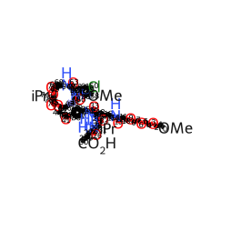 COCCOCCOCCOCCC(=O)NCCCCC(NC(=O)C(NC(=O)CCCC(=O)O)C(C)C)C(=O)NCc1ccc([C@H]2O[C@@H]2C(C)[C@@H]2C/C=C/C(=O)N[C@H](Cc3ccc(OC)c(Cl)c3)C(=O)NCC(C)(C)C(=O)O[C@@H](CC(C)C)C(=O)O2)cc1